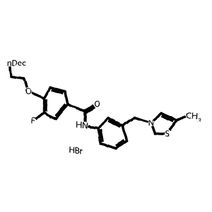 Br.CCCCCCCCCCCCOc1ccc(C(=O)Nc2cccc(CN3C=C(C)SC3)c2)cc1F